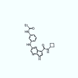 CCC(=O)Nc1cccc(Nc2cnc3[nH]cc(C(=O)NC4CCC4)c3n2)c1